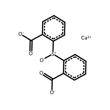 O=C([O-])c1ccccc1[S+]([O-])c1ccccc1C(=O)[O-].[Ca+2]